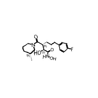 C[C@@H]1CCCN(C(=O)[C@H](CCCc2ccc(F)cc2)[C@H](O)C(=O)NO)C1